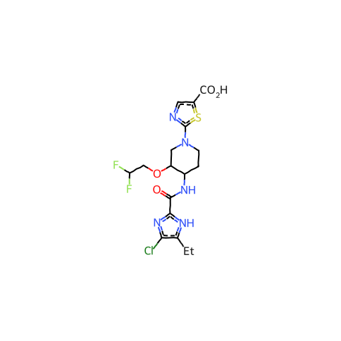 CCc1[nH]c(C(=O)NC2CCN(c3ncc(C(=O)O)s3)CC2OCC(F)F)nc1Cl